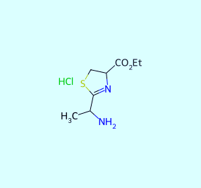 CCOC(=O)C1CSC(C(C)N)=N1.Cl